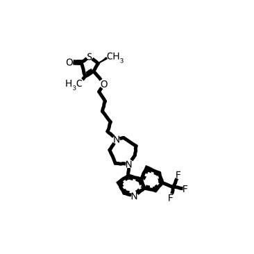 CC1=C(OCCCCCN2CCCN(c3ccnc4cc(C(F)(F)F)ccc34)CC2)[C@H](C)SC1=O